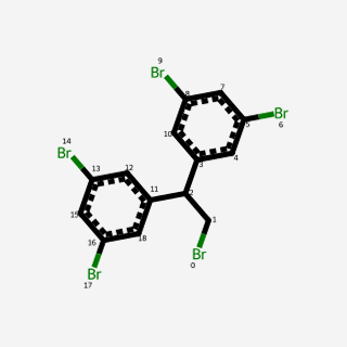 BrCC(c1cc(Br)[c]c(Br)c1)c1cc(Br)[c]c(Br)c1